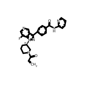 C=CC(=O)N1CCC[C@@H](n2nc(-c3ccc(C(=O)Nc4ccccn4)cc3)c3cncc(F)c32)C1